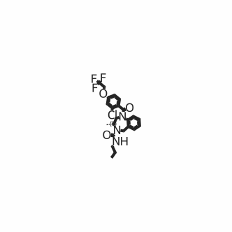 CCCNC(=O)N1Cc2ccccc2N(C(=O)c2ccc(OCC(F)(F)F)cc2Cl)C[C@H]1C